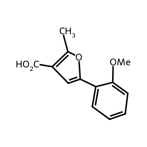 COc1ccccc1-c1cc(C(=O)O)c(C)o1